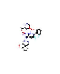 Cc1ccnc(C(C)C)c1-n1c(=O)nc(N2CCC3(CC=CC3=C=O)CC2)c2cc(F)c(-c3c(O)cccc3F)nc21